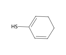 SC1=CCCC=C1